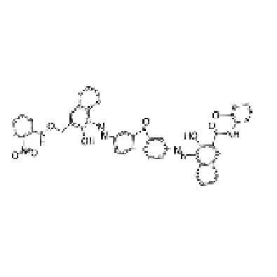 O=C1c2cc(N=Nc3c(O)c(CONc4ccccc4[N+](=O)[O-])cc4ccccc34)ccc2-c2ccc(N=Nc3c(O)c(C(=O)Nc4ccccc4Cl)cc4ccccc34)cc21